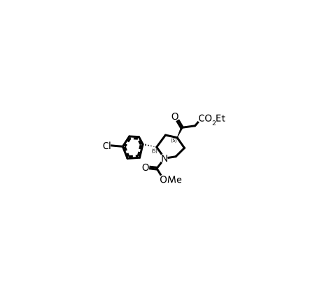 CCOC(=O)CC(=O)[C@H]1CCN(C(=O)OC)[C@H](c2ccc(Cl)cc2)C1